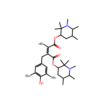 CCCC/C(C(=O)OC1CC(C)C(C)N(C)C1(C)C)=C(\Cc1cc(C(C)(C)C)c(O)c(C(C)(C)C)c1)C(=O)OC1CC(C)C(C)N(C)C1(C)C